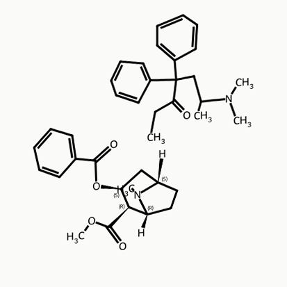 CCC(=O)C(CC(C)N(C)C)(c1ccccc1)c1ccccc1.COC(=O)[C@H]1[C@@H](OC(=O)c2ccccc2)C[C@@H]2CC[C@H]1N2C